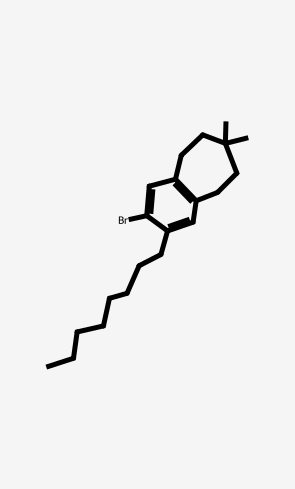 CCCCCCCCc1cc2c(cc1Br)CCC(C)(C)CC2